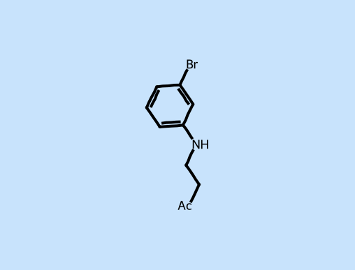 CC(=O)CCNc1cccc(Br)c1